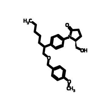 CCCCCC(COCc1ccc(OC)cc1)c1ccc(N2C(=O)CC[C@@H]2CO)cc1